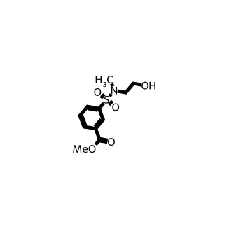 COC(=O)c1cccc(S(=O)(=O)N(C)CCO)c1